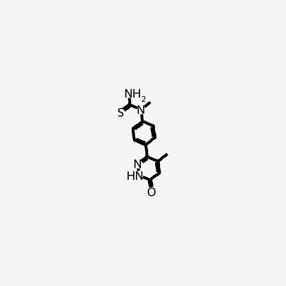 Cc1cc(=O)[nH]nc1-c1ccc(N(C)C(N)=S)cc1